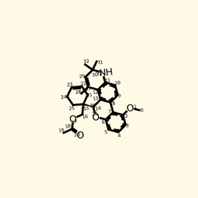 COc1cccc2c1-c1ccc3c(c1[C@H](C1(COC(C)=O)CC=CCC1)O2)C(C)=CC(C)(C)N3